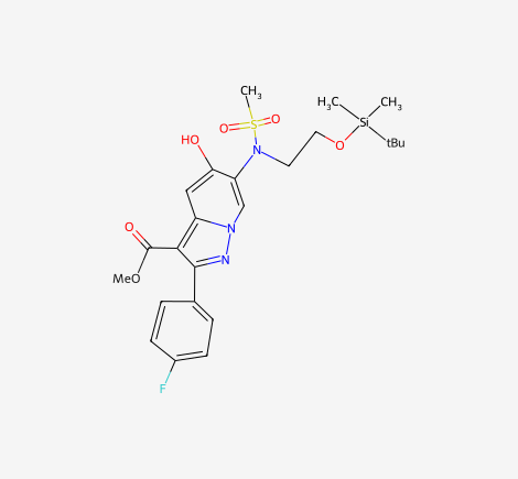 COC(=O)c1c(-c2ccc(F)cc2)nn2cc(N(CCO[Si](C)(C)C(C)(C)C)S(C)(=O)=O)c(O)cc12